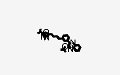 CC(C)Oc1nc2ccccc2nc1-c1cccc(/C=C/CCc2nnc(C(C)C)o2)c1